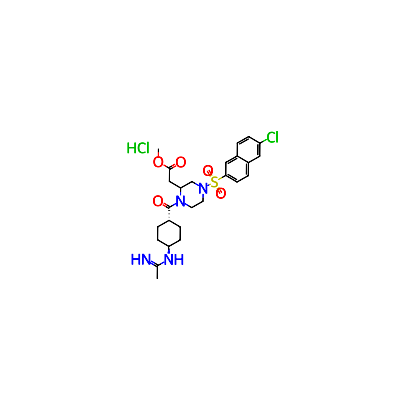 COC(=O)CC1CN(S(=O)(=O)c2ccc3cc(Cl)ccc3c2)CCN1C(=O)[C@H]1CC[C@H](NC(C)=N)CC1.Cl